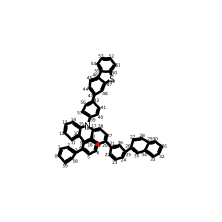 c1ccc(-c2ccccc2-c2ccccc2N(c2ccc(-c3cccc(-c4ccc5ccccc5c4)c3)cc2)c2ccc(-c3ccc4c(c3)sc3ccccc34)cc2)cc1